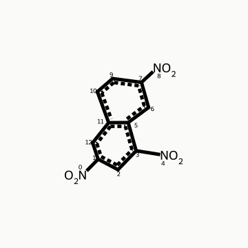 O=[N+]([O-])c1cc([N+](=O)[O-])c2cc([N+](=O)[O-])ccc2c1